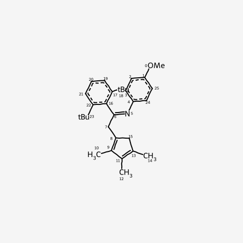 COc1ccc(N=C(CC2=C(C)C(C)=C(C)C2)c2c(C(C)(C)C)cccc2C(C)(C)C)cc1